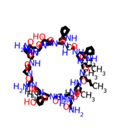 CCCCC[C@H]1C(=O)N[C@@H](CC(C)C)C(=O)N[C@H](C(=O)NCC(N)=O)CNCC(=O)N[C@@H](Cc2ccc(O)cc2)C(=O)N(C)[C@@H](C)C(=O)NC(CC(N)=O)C(=O)N2CCC[C@H]2C(=O)N[C@@H](Cc2cnc[nH]2)C(=O)N[C@@H](CCC(N)=O)C(=O)N2C[C@H](O)C[C@H]2C(=O)N[C@@H](Cc2c[nH]c3ccccc23)C(=O)NCC(=O)N[C@@H](Cc2c[nH]c3ccccc23)C(=O)N(C)[C@@H](CCCC)C(=O)N1C